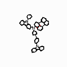 c1ccc(-c2cccc3cccc(-c4ccc(N(c5ccc(-c6ccc(-n7c8ccccc8c8ccccc87)cc6)cc5)c5ccc6c7ccccc7n(-c7ccccc7)c6c5)cc4)c23)cc1